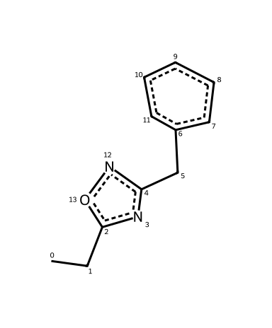 CCc1nc(Cc2ccccc2)no1